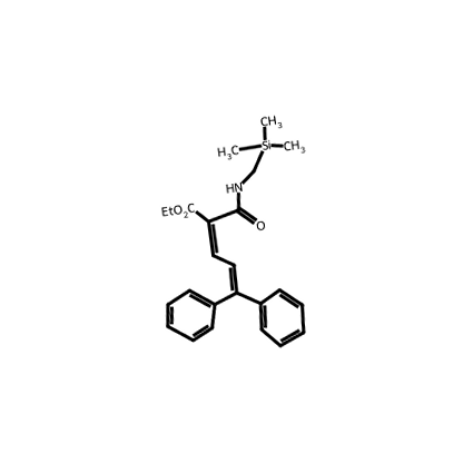 CCOC(=O)/C(=C/C=C(c1ccccc1)c1ccccc1)C(=O)NC[Si](C)(C)C